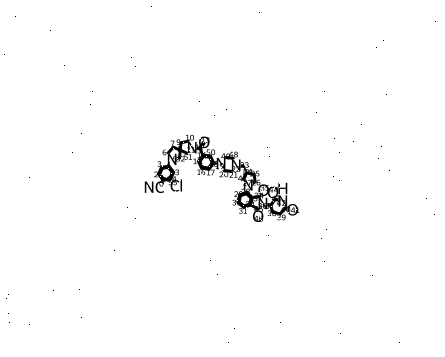 N#Cc1ccc(N2CCC3(CCN(C(=O)c4cccc(N5CCN(C[C@H]6CCN(c7cccc8c7C(=O)N(C7CCC(=O)NC7=O)C8=O)C6)CC5)c4)C3)C2)cc1Cl